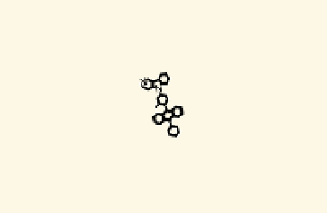 Cc1cc(-n2c3ccccc3c3cnccc32)ccc1-c1c2ccccc2c(-c2ccccc2)c2ccccc12